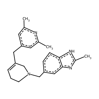 Cc1cc(CC2=CCCN(Cc3ccc4[nH]c(C)nc4c3)C2)cc(C)n1